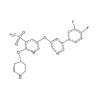 CS(=O)(=O)c1cc(Oc2cncc(-c3ccc(F)c(F)c3)c2)cnc1OC1CCNCC1